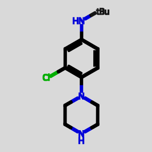 CC(C)(C)Nc1ccc(N2CCNCC2)c(Cl)c1